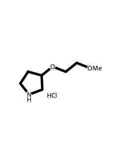 COCCOC1CCNC1.Cl